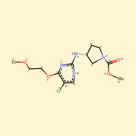 CCOCCOc1nc(N[C@@H]2CCN(C(=O)OC(C)(C)C)C2)ncc1Cl